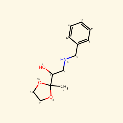 CC1(C(O)CNCc2ccccc2)OCCO1